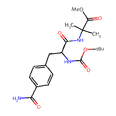 COC(=O)C(C)(C)NC(=O)C(Cc1ccc(C(N)=O)cc1)NC(=O)OC(C)(C)C